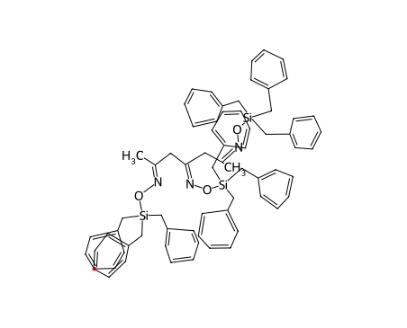 CC(CC(CC(C)=NO[Si](Cc1ccccc1)(Cc1ccccc1)Cc1ccccc1)=NO[Si](Cc1ccccc1)(Cc1ccccc1)Cc1ccccc1)=NO[Si](Cc1ccccc1)(Cc1ccccc1)Cc1ccccc1